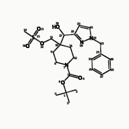 CC(C)(C)OC(=O)N1CCC(COS(C)(=O)=O)(C(O)c2ccn(Cc3ccccc3)n2)CC1